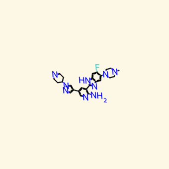 CN1CCN(c2cc3nc(-c4cc(-c5cnn(C6CC=NCC6)c5)cnc4N)[nH]c3cc2F)CC1